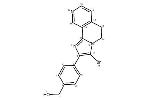 OCc1ccc(-c2nc3n(c2Br)CCc2ccncc2-3)cc1